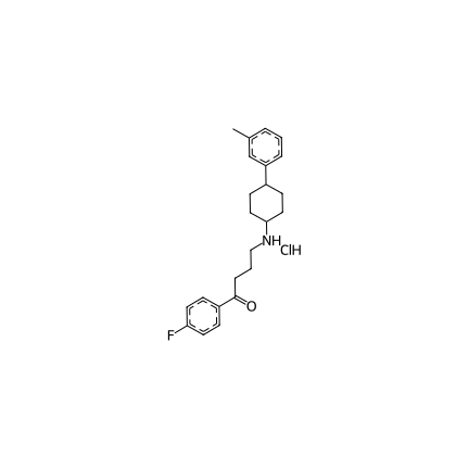 Cc1cccc(C2CCC(NCCCC(=O)c3ccc(F)cc3)CC2)c1.Cl